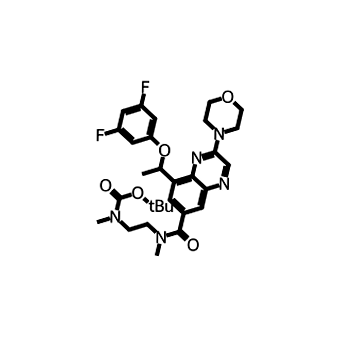 CC(Oc1cc(F)cc(F)c1)c1cc(C(=O)N(C)CCN(C)C(=O)OC(C)(C)C)cc2ncc(N3CCOCC3)nc12